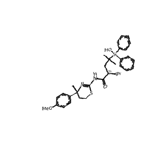 COc1ccc(C2(C)CCSC(NC(=O)[C@@H](CC(C)(C)[Si](O)(c3ccccc3)c3ccccc3)C(C)C)=N2)cc1